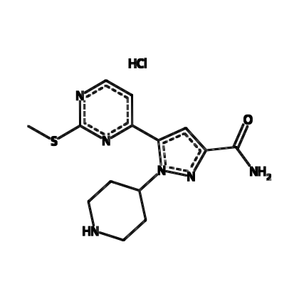 CSc1nccc(-c2cc(C(N)=O)nn2C2CCNCC2)n1.Cl